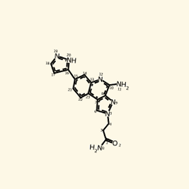 NC(=O)CCn1cc2c(n1)c(N)nc1cc(-c3ccn[nH]3)ccc12